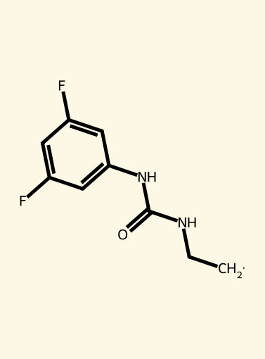 [CH2]CNC(=O)Nc1cc(F)cc(F)c1